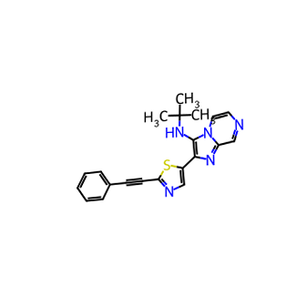 CC(C)(C)Nc1c(-c2cnc(C#Cc3ccccc3)s2)nc2cnccn12